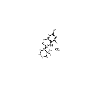 Cc1cc(F)cc(C)c1NC(=O)C1CCCC[N+]1(C)C.[Cl-]